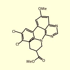 COC(=O)C1CCCN(c2ncnc3cc(OC)cc(-c4ccc(Cl)c(Cl)c4)c23)C1